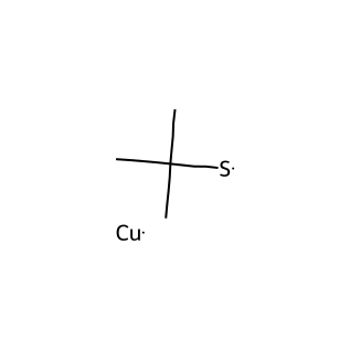 CC(C)(C)[S].[Cu]